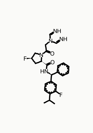 CC(C)c1ccc([C@@H](NC(=O)[C@@H]2C[C@@H](F)CN2C(=O)CN(C=N)C=N)c2ccccc2)cc1F